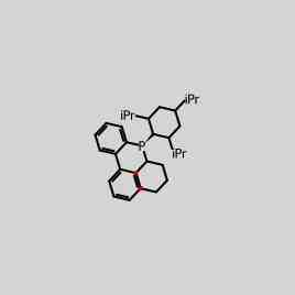 CC(C)C1CC(C(C)C)C([P@](c2ccccc2-c2ccccc2)C2CCCCC2)C(C(C)C)C1